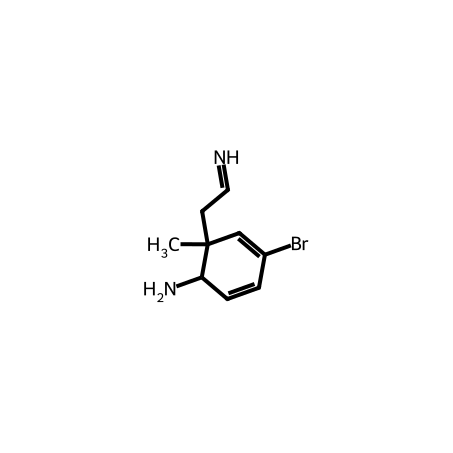 CC1(CC=N)C=C(Br)C=CC1N